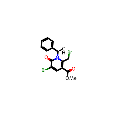 COC(=O)c1cc(Br)c(=O)n([C@H](C)c2ccccc2)c1CBr